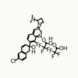 CN(C)C1CCN1N1C=c2ccc(C3(O)C=Cc4cc(Cl)ccc4C3)c(F)c2=NC1.O=C(O)C(F)(F)F.O=C(O)C(F)(F)F